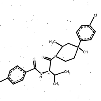 CC(C)[C@@H](NC(=O)c1ccc(Cl)cc1)C(=O)N1CCC(O)(c2ccc(Cl)cc2)CC1C